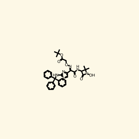 CC(C)(C)OC(=O)CO/N=C(/C(=O)NC1C(=O)N(O)C1(C)C)c1csc(NC(c2ccccc2)(c2ccccc2)c2ccccc2)n1